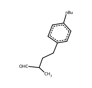 CCCCc1ccc(CCC(C)C=O)cc1